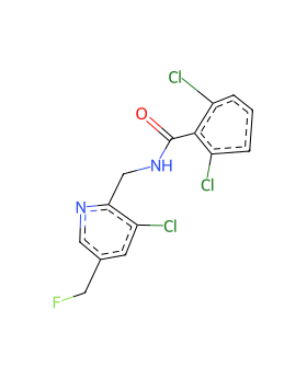 O=C(NCc1ncc(CF)cc1Cl)c1c(Cl)cccc1Cl